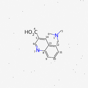 CN(C)C.O=C(O)c1cnc2ccccc2c1